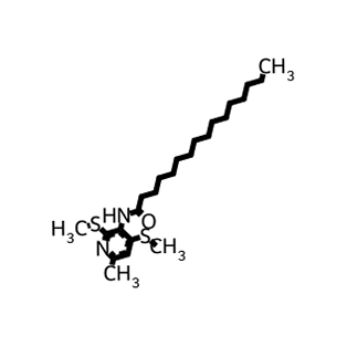 CCCCCCCCCCCCCCCC(=O)Nc1c(SC)cc(C)nc1SC